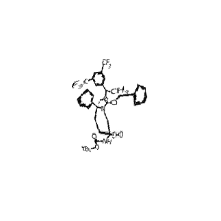 C[C@@H](OC[C@@]1(c2ccccc2)CCC(C=O)(NC(=O)OC(C)(C)C)CN1C(=O)OCc1ccccc1)c1cc(C(F)(F)F)cc(C(F)(F)F)c1